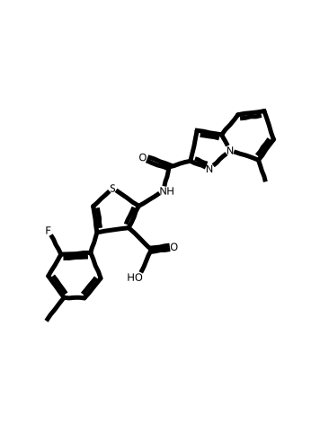 Cc1ccc(-c2csc(NC(=O)c3cc4cccc(C)n4n3)c2C(=O)O)c(F)c1